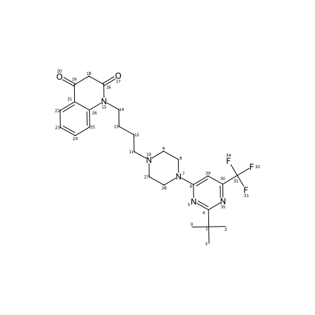 CC(C)(C)c1nc(N2CCN(CCCCN3C(=O)CC(=O)c4ccccc43)CC2)cc(C(F)(F)F)n1